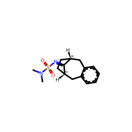 CN(C)S(=O)(=O)/N=C1/[C@@H]2CC[C@H]1Cc1ccccc1C2